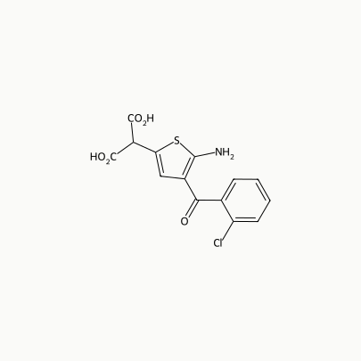 Nc1sc(C(C(=O)O)C(=O)O)cc1C(=O)c1ccccc1Cl